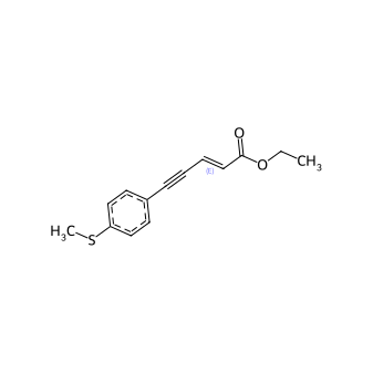 CCOC(=O)/C=C/C#Cc1ccc(SC)cc1